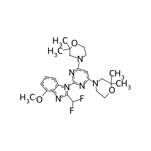 COc1cccc2c1nc(C(F)F)n2-c1nc(N2CCOC(C)(C)C2)cc(N2CCOC(C)(C)C2)n1